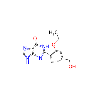 CCOc1cc(CO)ccc1-c1nc2[nH]cnc2c(=O)[nH]1